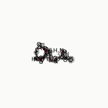 COc1cc2cc(c1Cl)N(C)C(=O)C[C@H](OC(=O)[C@H](C)N(C)C(=O)CCOC(=O)N(C)CCN(C)C(=O)OCc1ccc(NC(=O)OC3/C=C/CCCCC3)c(NCC(N)=O)c1)C1(C)C[C@H]1[C@H](C)[C@@H]1C[C@@](O)(NC(=O)O1)[C@H](OC)/C=C/C=C(\C)C2